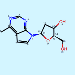 Cc1ncnc2c1ccn2[C@H]1CC(O)[C@@H](CO)O1